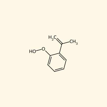 C=C(C)c1ccccc1OO